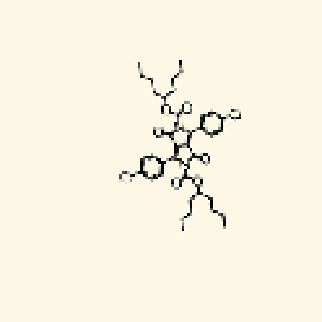 CCCCC(CCCC)OC(=O)N1C(=O)C2=C(c3ccc(Cl)cc3)N(C(=O)OC(CCCC)CCCC)C(=O)C2=C1c1ccc(Cl)cc1